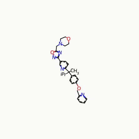 CC(C)C(C)(c1ccc(OCc2ccccn2)cc1)c1ccc(-c2noc(CN3CCOCC3)n2)cn1